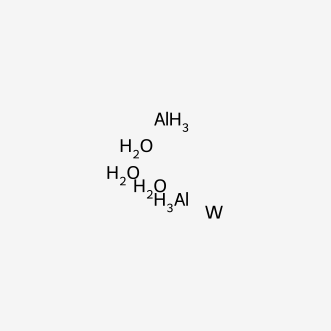 O.O.O.[AlH3].[AlH3].[W]